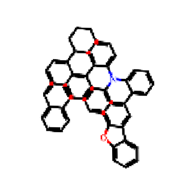 c1cc(-c2cccc3ccccc23)cc(N(c2ccccc2-c2ccc3oc4ccccc4c3c2)c2ccccc2-c2cccc3cccc(C4CCCCC4)c23)c1